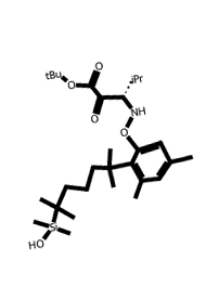 Cc1cc(C)c(C(C)(C)CCCC(C)(C)[Si](C)(C)O)c(ON[C@H](C(=O)C(=O)OC(C)(C)C)C(C)C)c1